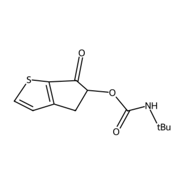 CC(C)(C)NC(=O)OC1Cc2ccsc2C1=O